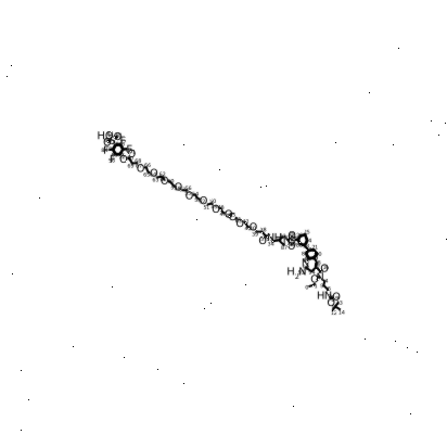 CCON(CCCNC(=O)OC(C)(C)C)C(=O)C1=Cc2ccc(-c3cccc(S(=O)(=O)N4CC(CNC(=O)CCOCCOCCOCCOCCOCCOCCOCCOCCOCCOCCC(=O)Oc5c(F)c(F)c(S(=O)(=O)O)c(F)c5F)C4)c3)cc2N=C(N)C1